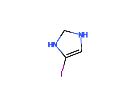 IC1=CNCN1